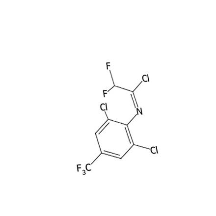 FC(F)/C(Cl)=N\c1c(Cl)cc(C(F)(F)F)cc1Cl